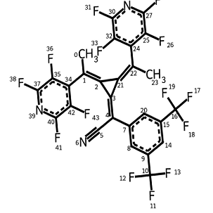 C/C(=C1/C(=C(C#N)c2cc(C(F)(F)F)cc(C(F)(F)F)c2)/C1=C(\C)c1c(F)c(F)nc(F)c1F)c1c(F)c(F)nc(F)c1F